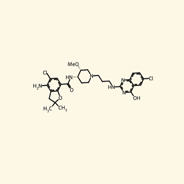 CO[C@@H]1CN(CCCNc2nc(O)c3cc(Cl)ccc3n2)CC[C@@H]1NC(=O)c1cc(Cl)c(N)c2c1OC(C)(C)C2